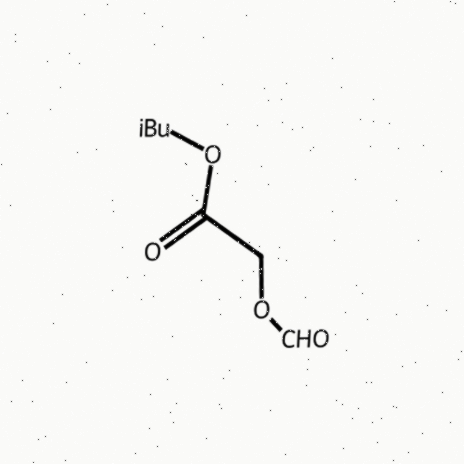 CCC(C)OC(=O)COC=O